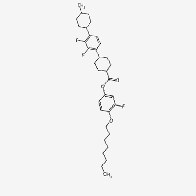 CCCCCCCCOc1ccc(OC(=O)C2CCC(c3ccc(C4CCC(C)CC4)c(F)c3F)CC2)cc1F